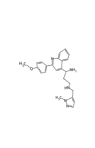 COc1ccc(-c2cc(C(N)CCNCc3ccnn3C)c3ccccc3n2)cc1